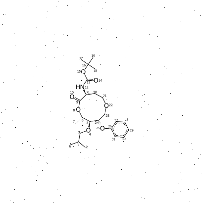 CC(C)CO[C@H]1[C@H](C)OC(=O)[C@@H](NC(=O)OC(C)(C)C)CCOC[C@@H]1Oc1ccccc1